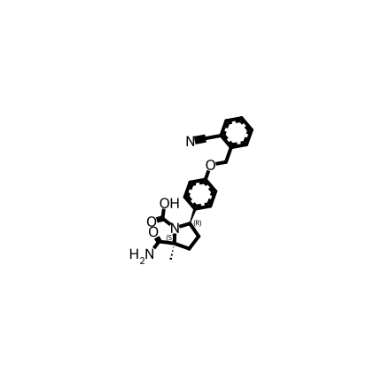 C[C@@]1(C(N)=O)CC[C@H](c2ccc(OCc3ccccc3C#N)cc2)N1C(=O)O